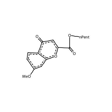 CCCCCOC(=O)c1cc(=O)c2ccc(OC)cc2o1